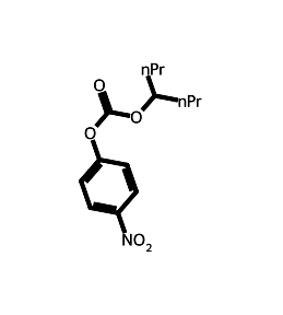 CCCC(CCC)OC(=O)Oc1ccc([N+](=O)[O-])cc1